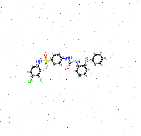 O=C(Nc1ccc(S(=O)(=O)Nc2ccc(Cl)c(Cl)c2)cc1)Nc1ccccc1Oc1ccccc1